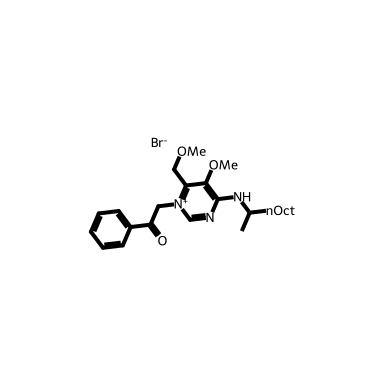 CCCCCCCCC(C)Nc1nc[n+](CC(=O)c2ccccc2)c(COC)c1OC.[Br-]